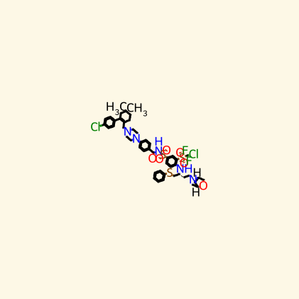 CC1(C)CCC(CN2CCN(c3ccc(C(=O)NS(=O)(=O)c4ccc(N[C@H](CCN5C[C@@H]6C[C@H]5CO6)CSc5ccccc5)c(S(=O)(=O)C(F)(F)Cl)c4)cc3)CC2)=C(c2ccc(Cl)cc2)C1